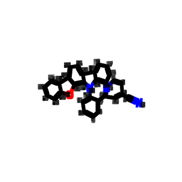 N#Cc1ccnc(-c2ccccc2-n2c3ccccc3c3ccc4c5ccccc5oc4c32)c1